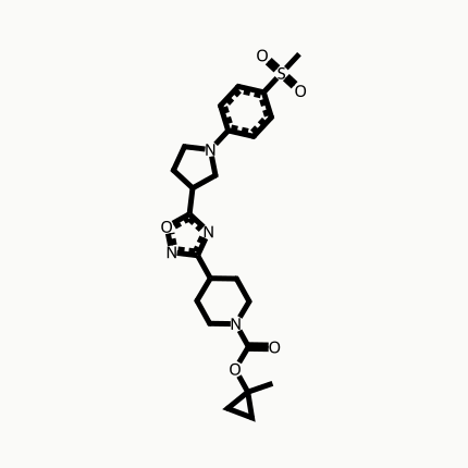 CC1(OC(=O)N2CCC(c3noc(C4CCN(c5ccc(S(C)(=O)=O)cc5)C4)n3)CC2)CC1